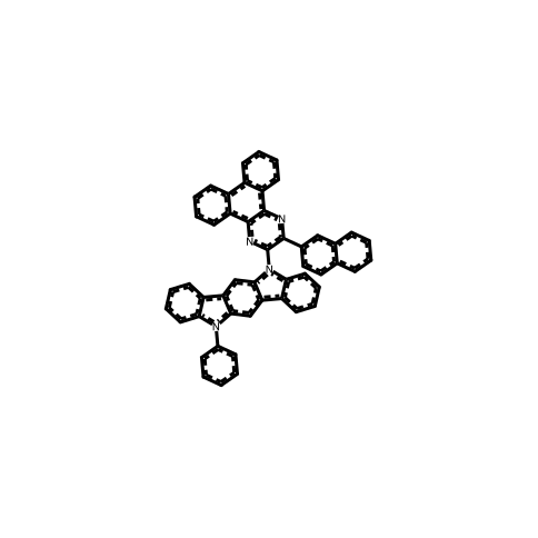 c1ccc(-n2c3ccccc3c3cc4c(cc32)c2ccccc2n4-c2nc3c4ccccc4c4ccccc4c3nc2-c2ccc3ccccc3c2)cc1